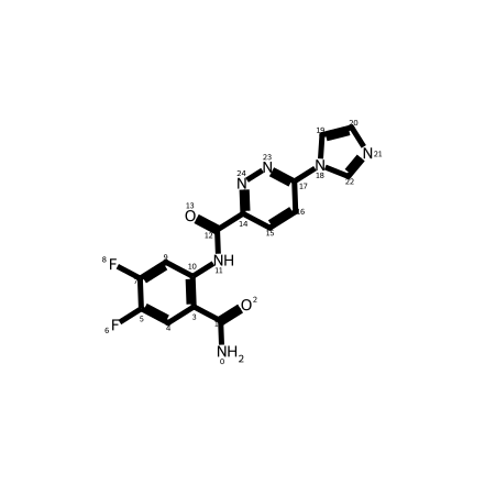 NC(=O)c1cc(F)c(F)cc1NC(=O)c1ccc(-n2ccnc2)nn1